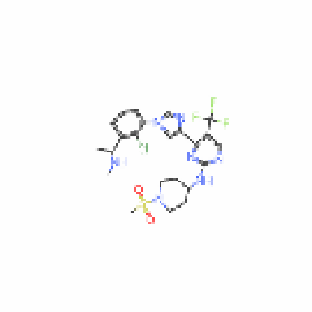 CNC(C)c1cccc(-n2cnc(-c3nc(NC4CCN(S(C)(=O)=O)CC4)ncc3C(F)(F)F)c2)c1Cl